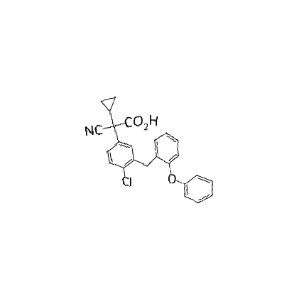 N#CC(C(=O)O)(c1ccc(Cl)c(Cc2ccccc2Oc2ccccc2)c1)C1CC1